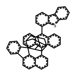 c1ccc2c(c1)-c1ccc3cccc(-c4c5ccccc5c(-c5cccc6c5sc5ccccc56)c5ccccc45)c3c1C21C2CC3CC(C2)CC1C3